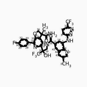 Cc1cnc2c(Nc3ccc(C(F)(F)F)nn3)cc(C(=O)NCC(O)(c3cc4c(c(-c5ccc(F)cc5)n3)OC[C@]4(C)C(N)=O)C(F)(F)F)cc2c1